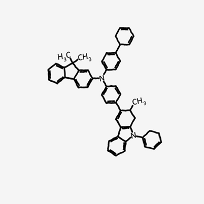 CC1Cc2c(c3ccccc3n2C2=CC=CCC2)C=C1c1ccc(N(c2ccc(C3C=CC=CC3)cc2)c2ccc3c(c2)C(C)(C)c2ccccc2-3)cc1